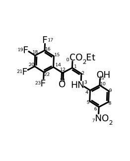 CCOC(=O)C(=CNc1cc([N+](=O)[O-])ccc1O)C(=O)c1cc(F)c(F)c(F)c1F